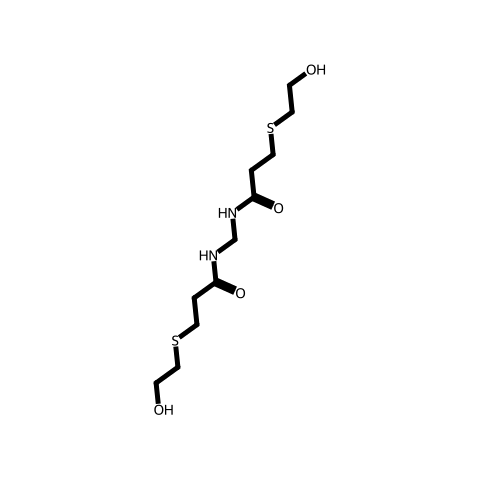 O=C(CCSCCO)NCNC(=O)CCSCCO